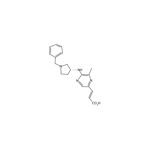 Cc1nc(C=CC(=O)O)cnc1N[C@@H]1CCN(Cc2ccccc2)C1